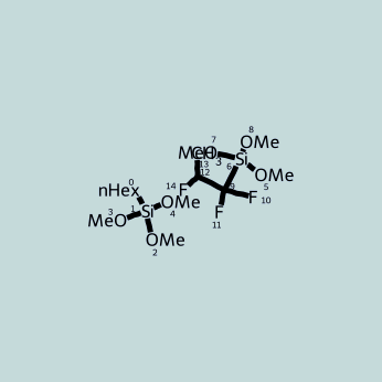 CCCCCC[Si](OC)(OC)OC.CO[Si](OC)(OC)C(F)(F)C(C)F